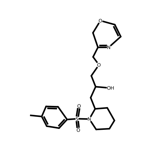 Cc1ccc(S(=O)(=O)N2CCCCC2CC(O)COCC2=NC=COC2)cc1